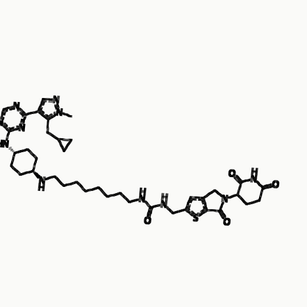 Cn1ncc(-c2ncnc(N[C@H]3CC[C@H](NCCCCCCCCNC(=O)NCc4cc5c(s4)C(=O)N(C4CCC(=O)NC4=O)C5)CC3)n2)c1CC1CC1